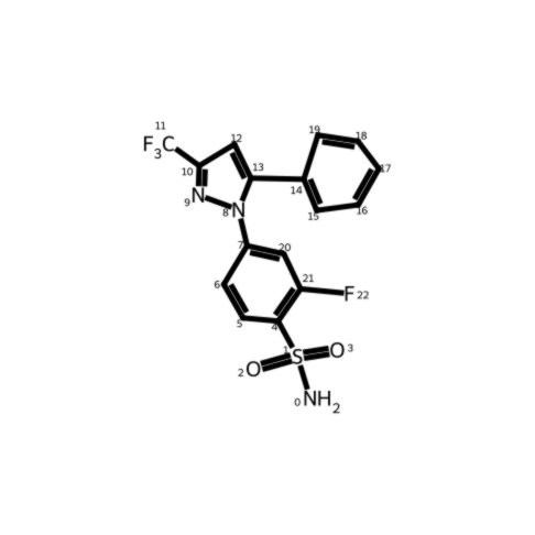 NS(=O)(=O)c1ccc(-n2nc(C(F)(F)F)cc2-c2ccccc2)cc1F